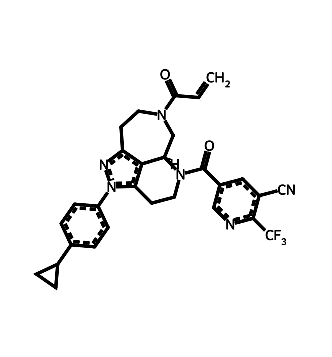 C=CC(=O)N1CCc2nn(-c3ccc(C4CC4)cc3)c3c2[C@H](C1)N(C(=O)c1cnc(C(F)(F)F)c(C#N)c1)CC3